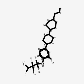 CCCC1CCC(C2CCC(c3ccc(OC(F)(F)C(F)(F)C(F)F)c(F)c3)CC2)CC1